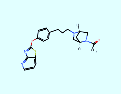 CC(=O)N1C[C@H]2C[C@@H]1CN2CCCc1ccc(Oc2nc3ncccc3s2)cc1